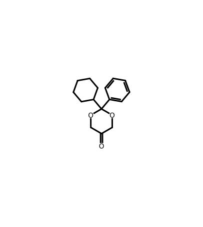 O=C1COC(c2ccccc2)(C2CCCCC2)OC1